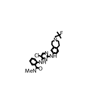 CNC(=O)c1ccccc1Nc1nc(Nc2ccc3c(c2)CCN(CC(C)(C)F)CC3)ncc1Cl